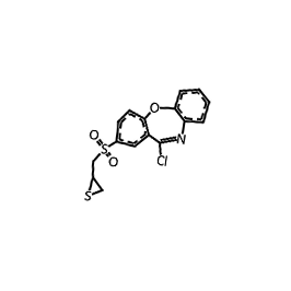 O=S(=O)(CC1CS1)c1ccc2c(c1)C(Cl)=Nc1ccccc1O2